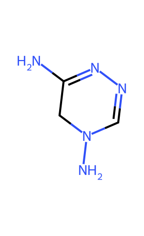 NC1=NN=CN(N)C1